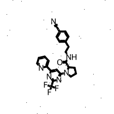 N#Cc1ccc(CCNC(=O)C2CCCN2c2cc(-c3ccccn3)nc(C(F)(F)F)n2)cc1